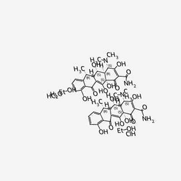 CCO.CCO.C[C@H]1c2cccc(O)c2C(=O)C2=C(O)[C@]3(O)C(=O)C(C(N)=O)=C(O)[C@@H](N(C)C)[C@@H]3[C@@H](O)[C@@H]21.C[C@H]1c2cccc(O)c2C(=O)C2=C(O)[C@]3(O)C(=O)C(C(N)=O)=C(O)[C@@H](N(C)C)[C@@H]3[C@@H](O)[C@@H]21.Cl.Cl.O